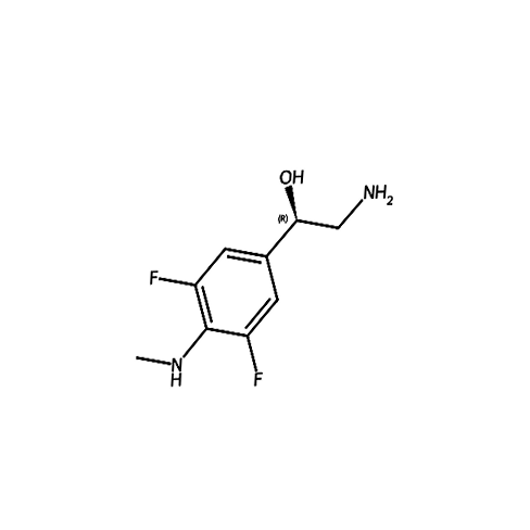 CNc1c(F)cc([C@@H](O)CN)cc1F